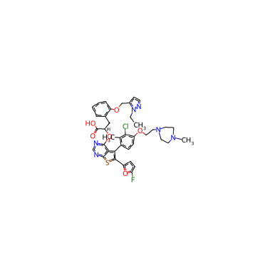 CCn1nccc1COc1ccccc1C[C@@H](Oc1ncnc2sc(-c3ccc(F)o3)c(-c3ccc(OCCN4CCN(C)CC4)c(Cl)c3C)c12)C(=O)O